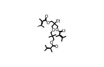 CCC(COCC(C)(C)COC(=O)C(C)=C(C)C)(COC(=O)C(C)=C(C)C)COC(=O)C(C)=C(C)C